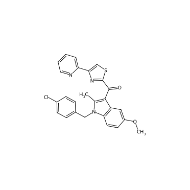 COc1ccc2c(c1)c(C(=O)c1nc(-c3ccccn3)cs1)c(C)n2Cc1ccc(Cl)cc1